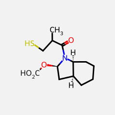 CC(CS)C(=O)N1[C@H](OC(=O)O)C[C@@H]2CCCC[C@@H]21